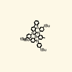 Cc1cc2c3c(c1)N(c1ccc(C(C)(C)C)cc1)c1ccc(C(C)(C)C)cc1B3c1c(c3c4sc5ccccc5c4ccc3n1C1C=CC(C(C)(C)C)=CC1)N2C1=CCC(C(C)(C)C)C=C1